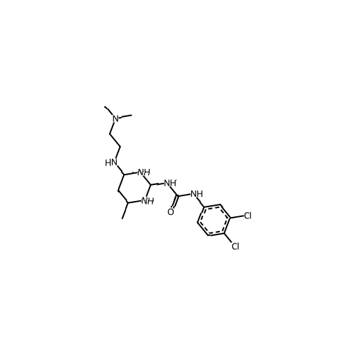 CC1CC(NCCN(C)C)NC(NC(=O)Nc2ccc(Cl)c(Cl)c2)N1